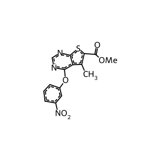 COC(=O)c1sc2ncnc(Oc3cccc([N+](=O)[O-])c3)c2c1C